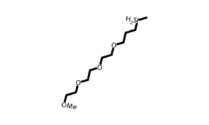 COCCOCCOCCOCCC[SiH2]C